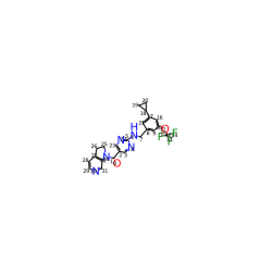 O=C(c1cnc(NCc2cc(OC(F)(F)F)cc(C3CC3)c2)nc1)N1CCc2ccncc21